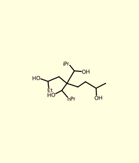 CCCC(O)C(CCC(C)O)(CC(O)CC)C(O)C(C)C